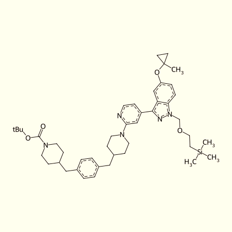 CC(C)(C)OC(=O)N1CCC(Cc2ccc(CC3CCN(c4cc(-c5nn(COCC[Si](C)(C)C)c6ccc(OC7(C)CC7)cc56)ccn4)CC3)cc2)CC1